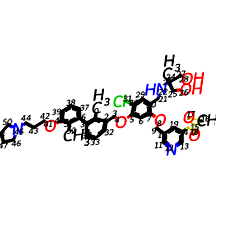 Cc1c(COc2cc(OCc3cncc(S(C)(=O)=O)c3)c(CNC(C)(CO)CO)cc2Cl)cccc1-c1cccc(OCCCN2CCC(O)C2)c1C